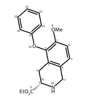 CCOC(=O)[C@@H]1Cc2c(ccc(OC)c2Oc2ccccc2)CN1